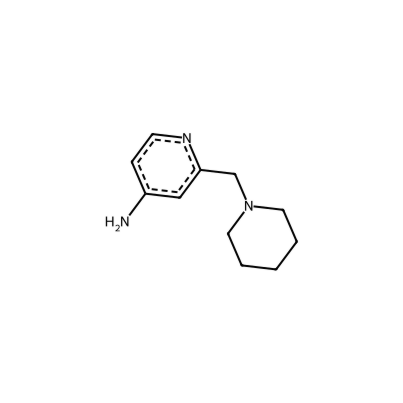 Nc1ccnc(CN2CCCCC2)c1